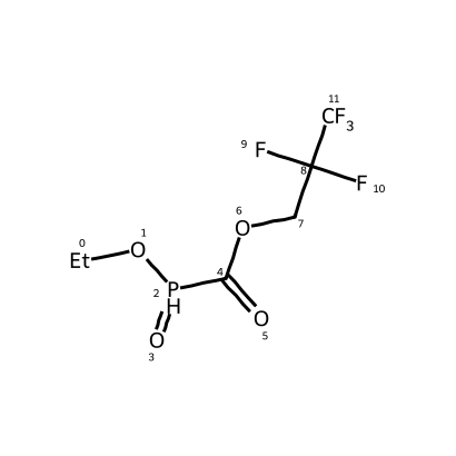 CCO[PH](=O)C(=O)OCC(F)(F)C(F)(F)F